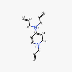 C=CCN1C=CC(N(CC=C)CC=C)=CC1